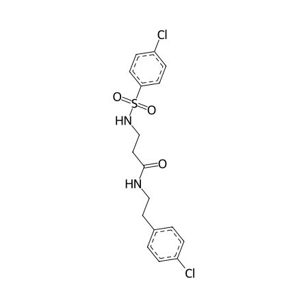 O=C(CCNS(=O)(=O)c1ccc(Cl)cc1)NCCc1ccc(Cl)cc1